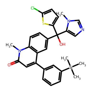 Cn1cncc1C(O)(c1ccc2c(c1)c(-c1cccc([Si](C)(C)C)c1)cc(=O)n2C)c1ccc(Cl)s1